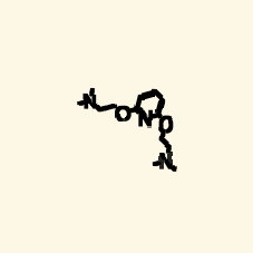 CN(C)CCOc1cccc(OCCN(C)C)n1